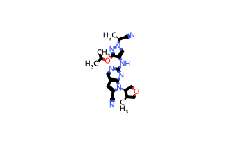 CC(C)Oc1nn([C@H](C)C#N)cc1Nc1ncc2cc(C#N)n([C@H]3COC[C@H]3C)c2n1